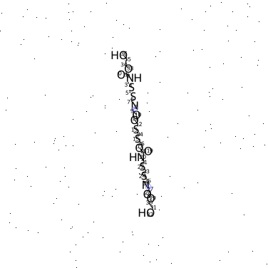 O=C(NCSCSC/N=C/OOCSCSCOC(=O)NCSCSC/N=C/OOCCO)OCCO